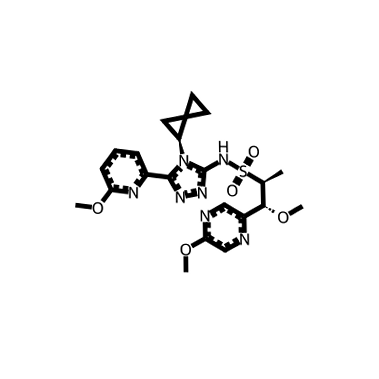 COc1cnc([C@@H](OC)[C@H](C)S(=O)(=O)Nc2nnc(-c3cccc(OC)n3)n2[C@H]2CC23CC3)cn1